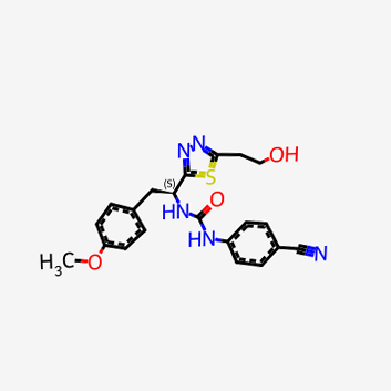 COc1ccc(C[C@H](NC(=O)Nc2ccc(C#N)cc2)c2nnc(CCO)s2)cc1